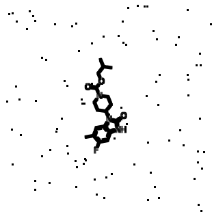 Cc1cc2c(cc1F)[nH]c(=O)n2C1CCN(C(=O)OCC(C)C)CC1